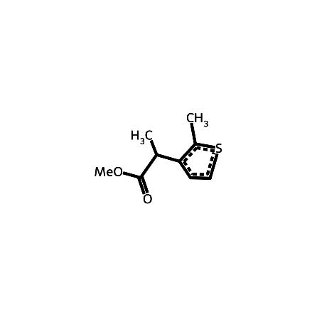 COC(=O)C(C)c1ccsc1C